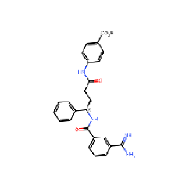 N=C(N)c1cccc(C(=O)N[C@H](CCC(=O)Nc2ccc(C(=O)O)cc2)c2ccccc2)c1